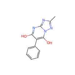 Cc1nc2nc(O)c(-c3ccccc3)c(O)n2n1